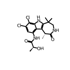 C[C@H](O)C(=O)Nc1cc(Cl)c(Cl)c2[nH]c3c(c12)[C@@H](C)C(=O)NCC3(C)C